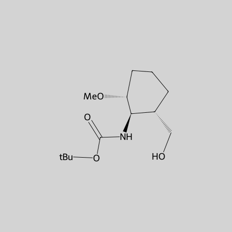 CO[C@@H]1CCC[C@H](CO)[C@H]1NC(=O)OC(C)(C)C